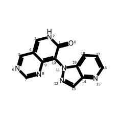 O=c1[nH]cc2cncnc2c1-n1ncc2ncccc21